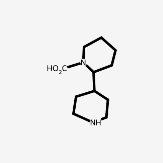 O=C(O)N1CCCCC1C1CCNCC1